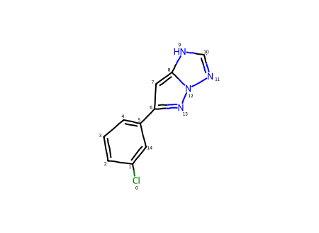 Clc1cccc(-c2cc3[nH][c]nn3n2)c1